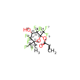 C=CC(=O)OC1(C(F)(F)F)OC(C)(C(F)(F)F)C(F)(F)C(O)C1(F)F